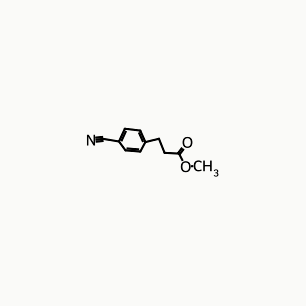 COC(=O)CCc1ccc(C#N)cc1